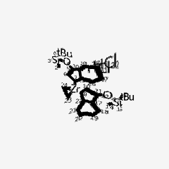 CC(C)(C)[Si](C)(C)OC1=C[CH]([Zr]2([CH]3C=C(O[Si](C)(C)C(C)(C)C)c4ccccc43)[CH2][CH2]2)c2ccccc21.Cl.Cl